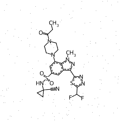 CCC(=O)N1CCN(c2cc(S(=O)(=O)NC3(C#N)CC3)cc3c(-c4nnc(C(F)F)s4)nn(C)c23)CC1